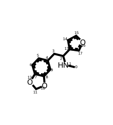 CNC(Cc1ccc2c(c1)OCO2)c1ccoc1